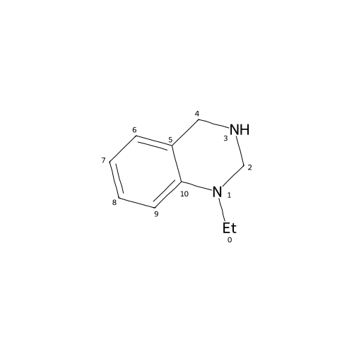 CCN1CNCc2ccccc21